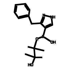 CC(C)(O)C(C)(C)OB(O)c1c[nH]nc1Cc1ccccc1